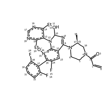 C=CC(=O)N1CCN(C2=NC(O)N(c3c(CC)ncnc3CC)c3c2cc(F)c(-c2c(F)cccc2F)[n+]3[O-])[C@@H](C)C1